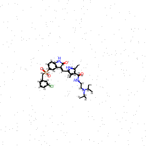 Cc1[nH]c(/C=C2\C(=O)Nc3ccc(S(=O)(=O)Cc4cccc(Cl)c4)cc32)c(C)c1C(=O)NCCN(C(C)C)C(C)C